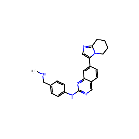 CNCc1ccc(Nc2ncc3ccc(-c4cnc5n4CCCC5)cc3n2)cc1